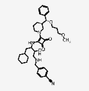 COCCCO[C@@H](c1ccccc1)[C@@H]1CCCN(c2c(NC(CC3CCCCC3)C(O)CNCc3ccc(C#N)cc3)c(=O)c2=O)C1